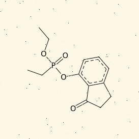 CCOP(=O)(CC)Oc1cccc2c1C(=O)CC2